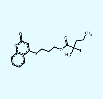 CCCC(C)(I)C(=O)OCCCSc1cc(=O)oc2ccccc12